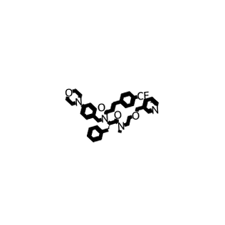 CN(CCOCc1cccnc1)C(=O)[C@H](Cc1ccccc1)N(Cc1ccc(N2CCOCC2)cc1)C(=O)/C=C/c1ccc(C(F)(F)F)cc1